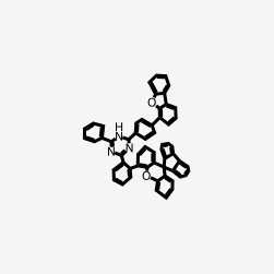 c1ccc(C2=NC(c3ccccc3-c3cccc4c3Oc3ccccc3C43c4ccccc4-c4ccccc43)=NC(c3ccc(-c4cccc5c4oc4ccccc45)cc3)N2)cc1